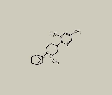 Cc1cnc(N2CCN([C@H]3CC4CCC3C4)[C@@H](C)C2)c(C)c1